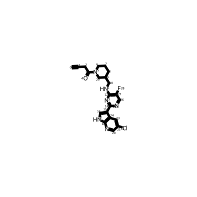 C#CCC(=O)N1CCCC(CNc2nc(-c3c[nH]c4ncc(Cl)cc34)ncc2F)C1